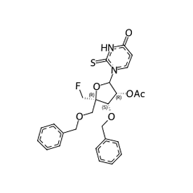 CC(=O)O[C@H]1C(n2ccc(=O)[nH]c2=S)O[C@](CF)(COCc2ccccc2)[C@H]1OCc1ccccc1